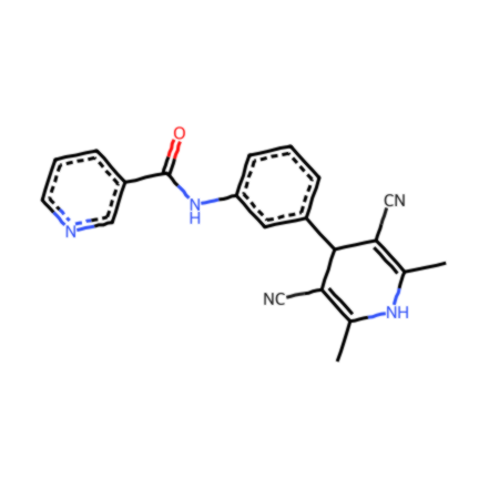 CC1=C(C#N)C(c2cccc(NC(=O)c3cccnc3)c2)C(C#N)=C(C)N1